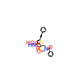 O=C(CC1(c2ccc(C#Cc3ccccc3)s2)CCN(C(=O)c2ccccc2)CCS1(=O)=O)NO